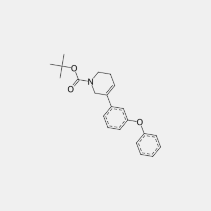 CC(C)(C)OC(=O)N1CCC=C(c2cccc(Oc3ccccc3)c2)C1